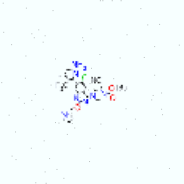 Cc1cc(N)nc(-c2cc3nc(OCC4CCCN4C)nc(N4CCN(C(=O)OC(C)(C)C)C(CC#N)C4)c3cc2Cl)c1C(F)(F)F